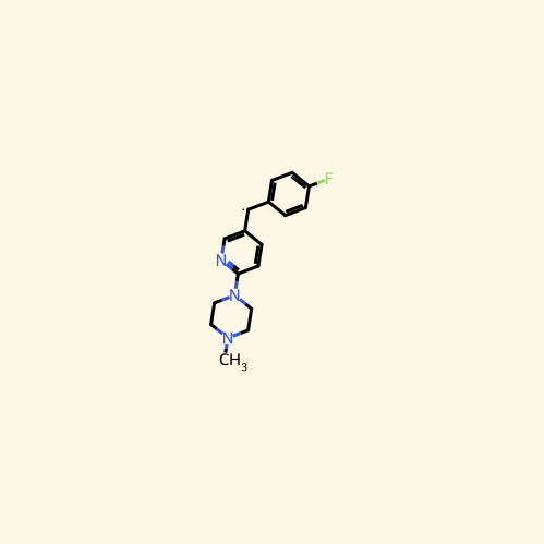 CN1CCN(c2ccc([CH]c3ccc(F)cc3)cn2)CC1